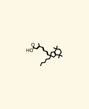 CCCCCC1(C=CC=CC(C)=CC(=O)O)CC2=C(C1)C(C)(C)CCC2(C)C